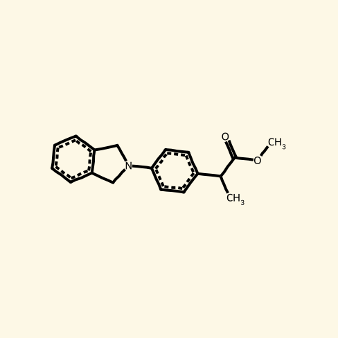 COC(=O)C(C)c1ccc(N2Cc3ccccc3C2)cc1